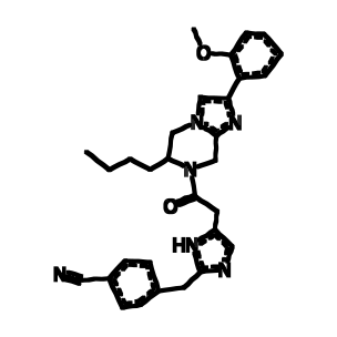 CCCCC1Cn2cc(-c3ccccc3OC)nc2CN1C(=O)Cc1cnc(Cc2ccc(C#N)cc2)[nH]1